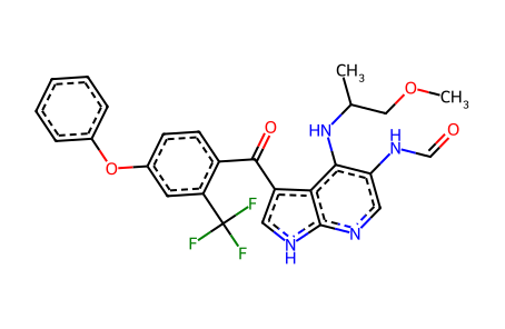 COCC(C)Nc1c(NC=O)cnc2[nH]cc(C(=O)c3ccc(Oc4ccccc4)cc3C(F)(F)F)c12